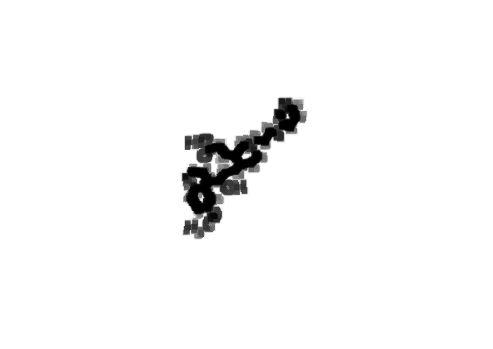 COc1ccc2nccc([C@@H](O)CCC3CCN(CCCSc4cccnn4)CC3CCC(=O)O)c2c1